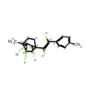 Cc1ccc(/C(F)=C(\F)C23CCC(C)(CC2)C(F)(F)C3F)cc1